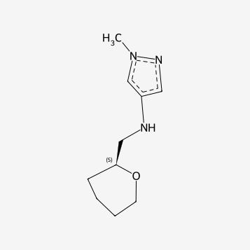 Cn1cc(NC[C@@H]2CCCCO2)cn1